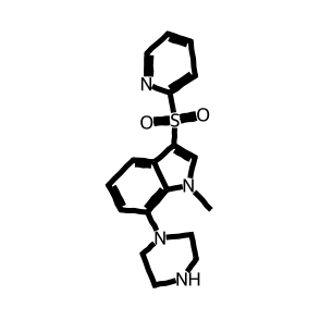 Cn1cc(S(=O)(=O)c2ccccn2)c2cccc(N3CCNCC3)c21